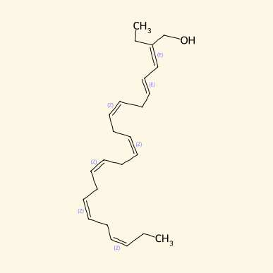 CC/C=C\C/C=C\C/C=C\C/C=C\C/C=C\C/C=C/C=C(\CC)CO